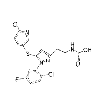 O=C(O)NCCc1cc(Sc2ccc(Cl)nc2)n(-c2cc(F)ccc2Cl)n1